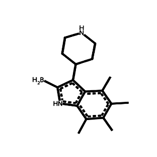 Bc1[nH]c2c(C)c(C)c(C)c(C)c2c1C1CCNCC1